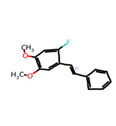 COc1cc(F)c(/C=C/c2ccccc2)cc1OC